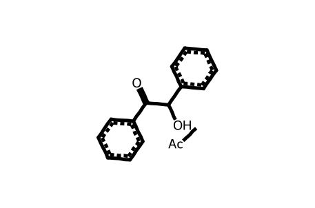 CC(C)=O.O=C(c1ccccc1)C(O)c1ccccc1